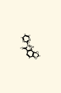 S=c1c2ccc3c(c2[se]n1-c1ncccn1)OCO3